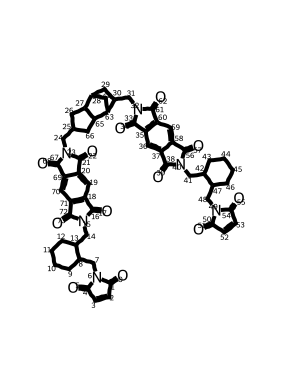 O=C1C=CC(=O)N1CC1CCCCC1Cn1c(=O)c2cc3c(=O)n(CC4CC5C6CC(Cn7c(=O)c8cc9c(=O)n(CC%10CCCCC%10CN%10C(=O)C=CC%10=O)c(=O)c9cc8c7=O)C(C6)C5C4)c(=O)c3cc2c1=O